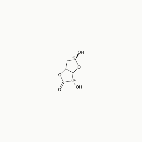 O=C1OC2C[C@@H](O)OC2[C@@H]1O